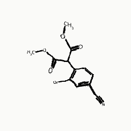 COC(=O)C(C(=O)OC)c1ccc(C#N)cc1Br